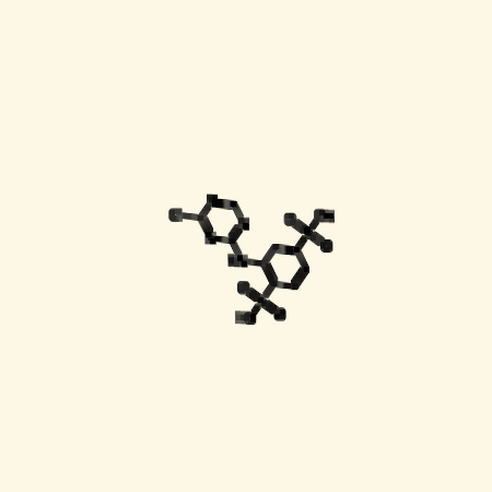 O=S(=O)(O)c1ccc(S(=O)(=O)O)c(Nc2ncnc(Cl)n2)c1